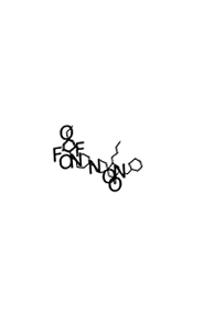 CCCCC1CN(CC2CCCCC2)C(=O)OC12CCN(C1CCN(C(=O)c3c(F)cc(OC)cc3F)CC1)CC2